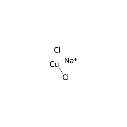 [Cl-].[Cl][Cu].[Na+]